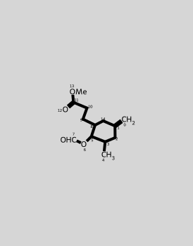 C=C1CC(C)C(OC=O)C(CCC(=O)OC)C1